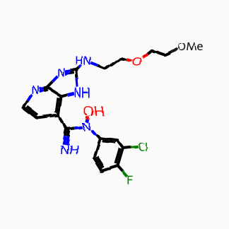 COCCOCCNc1nc2nccc(C(=N)N(O)c3ccc(F)c(Cl)c3)c2[nH]1